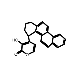 O=c1occc(C2CCCc3ccc4c(ccc5ccccc54)c32)c1O